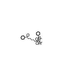 CCN(CC)C(O)(CCCCCC(=O)c1ccccc1)OC(=O)c1ccccc1